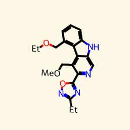 CCOCc1cccc2[nH]c3cnc(-c4nc(CC)no4)c(COC)c3c12